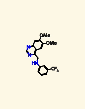 COc1cc2ncnc(CNc3cccc(C(F)(F)F)c3)c2cc1OC